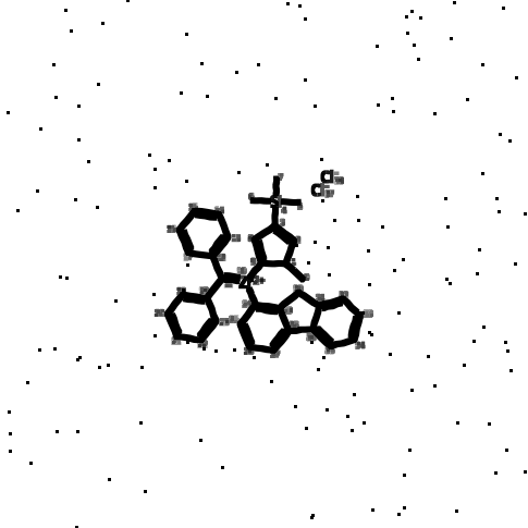 CC1C=C([Si](C)(C)C)C=[C]1[Zr+2](=[C](c1ccccc1)c1ccccc1)[c]1cccc2c1Cc1ccccc1-2.[Cl-].[Cl-]